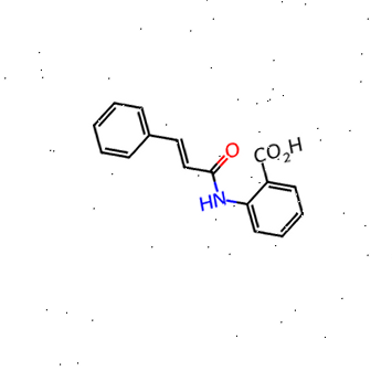 O=C(/C=C/c1ccccc1)Nc1ccccc1C(=O)O